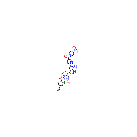 CN(C)C(=O)N1CCN(C(=O)c2ccc(-c3cc4c(-c5ccnc(NC(=O)c6ccc(C7CC7)cc6F)c5CO)ccnc4[nH]3)nc2)CC1